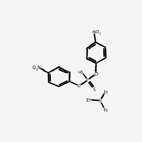 CCN(CC)CC.O=[N+]([O-])c1ccc(OP(=S)(S)Oc2ccc([N+](=O)[O-])cc2)cc1